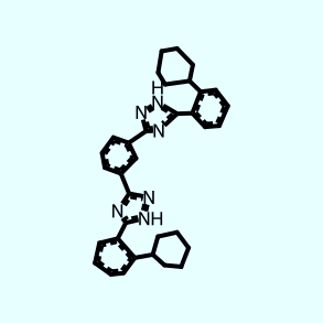 c1cc(-c2n[nH]c(-c3ccccc3C3CCCCC3)n2)cc(-c2n[nH]c(-c3ccccc3C3CCCCC3)n2)c1